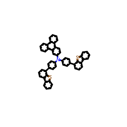 c1ccc2c(c1)sc1c(-c3ccc(N(c4ccc(-c5cccc6c5sc5ccccc56)cc4)c4ccc5c6ccccc6c6ccccc6c5c4)cc3)cccc12